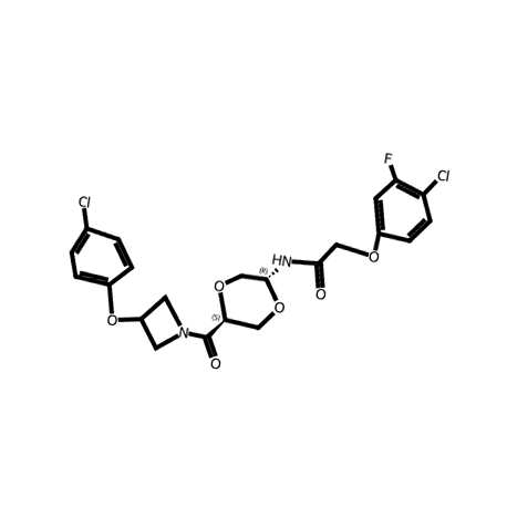 O=C(COc1ccc(Cl)c(F)c1)N[C@H]1CO[C@H](C(=O)N2CC(Oc3ccc(Cl)cc3)C2)CO1